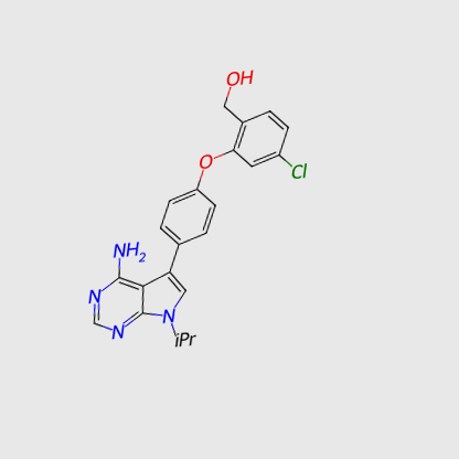 CC(C)n1cc(-c2ccc(Oc3cc(Cl)ccc3CO)cc2)c2c(N)ncnc21